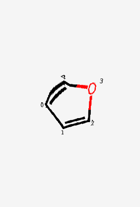 [c]1[c][c]o[c]1